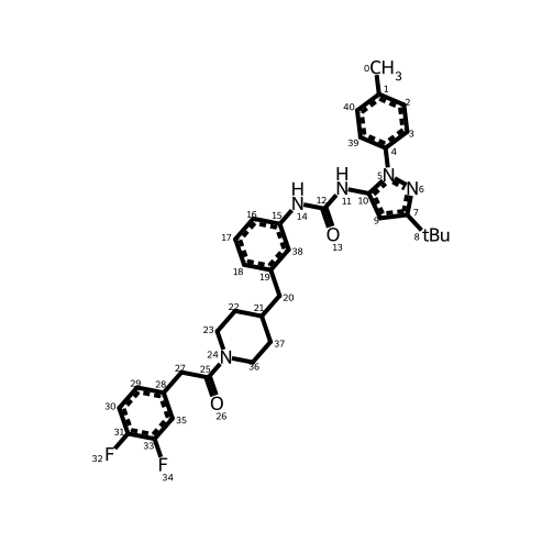 Cc1ccc(-n2nc(C(C)(C)C)cc2NC(=O)Nc2cccc(CC3CCN(C(=O)Cc4ccc(F)c(F)c4)CC3)c2)cc1